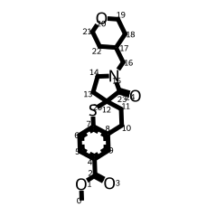 COC(=O)c1ccc2c(c1)CCC1(CCN(CC3CCOCC3)C1=O)S2